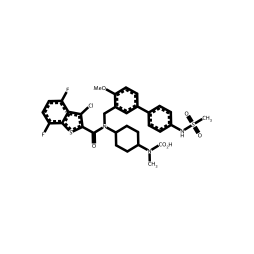 COc1ccc(-c2ccc(NS(C)(=O)=O)cc2)cc1CN(C(=O)c1sc2c(F)ccc(F)c2c1Cl)C1CCC(N(C)C(=O)O)CC1